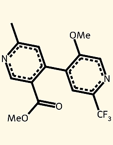 COC(=O)c1cnc(C)cc1-c1cc(C(F)(F)F)ncc1OC